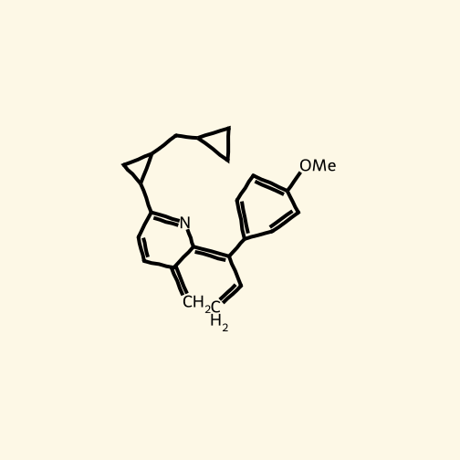 C=C/C(c1ccc(OC)cc1)=c1/nc(C2CC2CC2CC2)ccc1=C